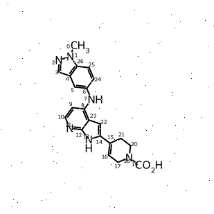 Cn1ncc2cc(Nc3ccnc4[nH]c(C5=CCN(C(=O)O)CC5)cc34)ccc21